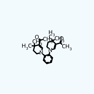 CC(=O)C1=CN(c2ccccc2N2C=C(C(C)=O)C(C)(C)CC2)CCC1(C)C